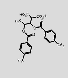 Cc1ccc(C(=O)OC(C)C(OC(=O)c2ccc(C)cc2)C(C(=O)O)C(=O)O)cc1